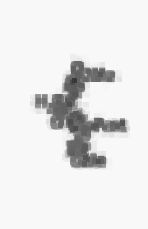 CCCCCC(OCc1ccc(OC)cc1)c1ccc(N2C(=O)C[C@@H](C)[C@@H]2C=CCc2ccc(C(=O)OC)s2)cc1